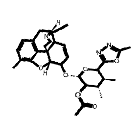 CC(=O)OC1[C@H](OC2C=CC3[C@H]4Cc5ccc(C)c6c5[C@@]3(CCN4C)[C@H]2O6)OC(c2nnc(C)o2)[C@@H](C)[C@@H]1C